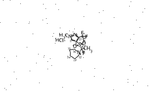 Cl.Cn1cc(S(=O)(=O)C(C)(F)N2CCCCC2)c(C(F)(F)F)n1